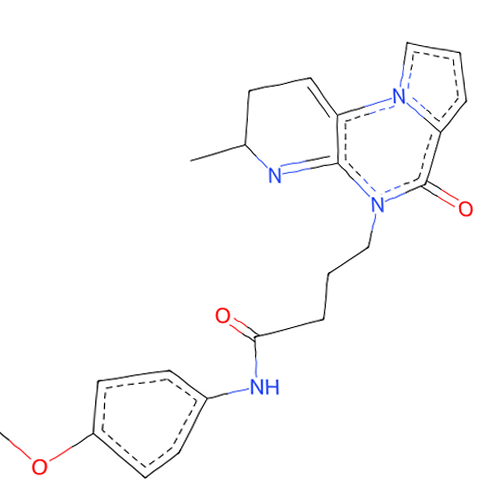 COc1ccc(NC(=O)CCCn2c3c(n4cccc4c2=O)=CCC(C)N=3)cc1